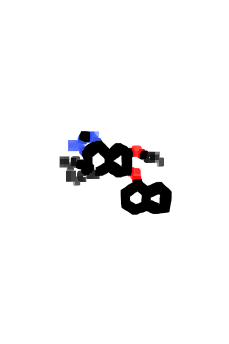 COc1cc2c(cc1OC1CCCc3ccccc31)[Se]C(C)(C)c1[nH]cnc1-2